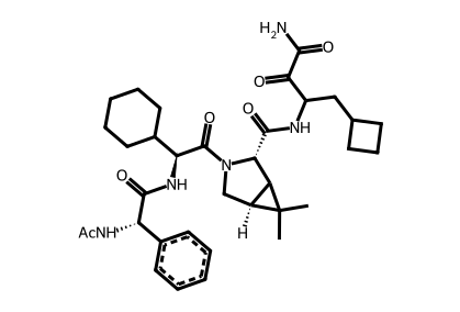 CC(=O)N[C@H](C(=O)N[C@H](C(=O)N1C[C@H]2C([C@H]1C(=O)NC(CC1CCC1)C(=O)C(N)=O)C2(C)C)C1CCCCC1)c1ccccc1